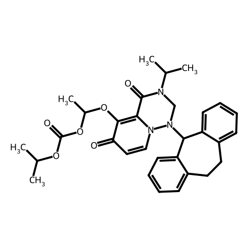 CC(C)OC(=O)OC(C)Oc1c2n(ccc1=O)N(C1c3ccccc3CCc3ccccc31)CN(C(C)C)C2=O